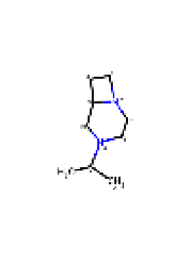 CC(C)N1CCN2CCC2C1